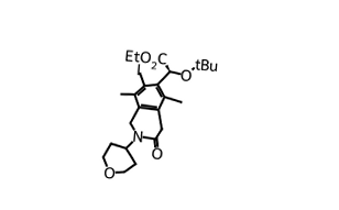 CCOC(=O)[C@@H](OC(C)(C)C)c1c(C)c2c(c(C)c1I)CN(C1CCOCC1)C(=O)C2